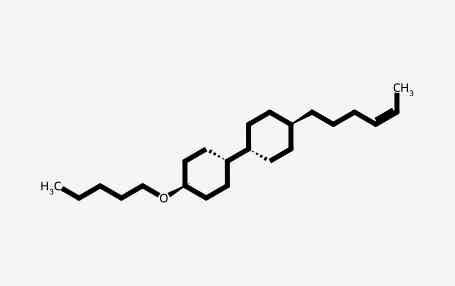 C/C=C\CCC[C@H]1CC[C@H]([C@H]2CC[C@H](OCCCCC)CC2)CC1